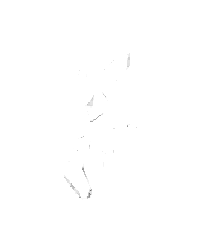 Cc1ccccc1-c1ccc2c(c1)Cc1c-2ccc(-c2ccccc2C)[c]1[Zr+2].[Cl-].[Cl-]